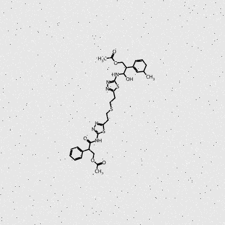 CC(=O)OCC(C(=O)Nc1nnc(CCSCCc2nnc(NC(O)C(COC(C)=O)C3=CC(C)CC=C3)s2)s1)c1ccccc1